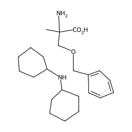 C1CCC(NC2CCCCC2)CC1.CC(N)(COCc1ccccc1)C(=O)O